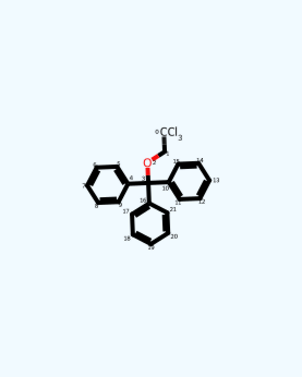 ClC(Cl)(Cl)COC(c1ccccc1)(c1ccccc1)c1ccccc1